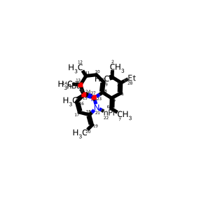 C=C(C)/C(=C\C(=C/C)C1=CCC(C)C(C)C(/C=C\C(=C/C)N(CCC)CC(C)CCCC)=N1)CC